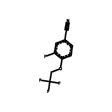 N#Cc1ccc(OCC(F)(F)F)c(F)c1